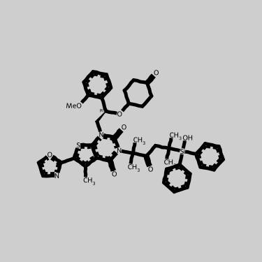 COc1ccccc1[C@H](Cn1c(=O)n(C(C)(C)C(=O)CC(C)(C)[Si](O)(c2ccccc2)c2ccccc2)c(=O)c2c(C)c(-c3ncco3)sc21)OC1CCC(=O)CC1